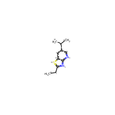 CCc1nc2ncc(C(C)C)cc2s1